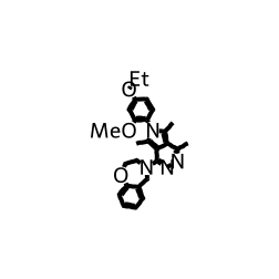 CCOc1ccc(-n2c(C)c3c(C)nnc(N4CCOc5ccccc5C4)c3c2C)c(OC)c1